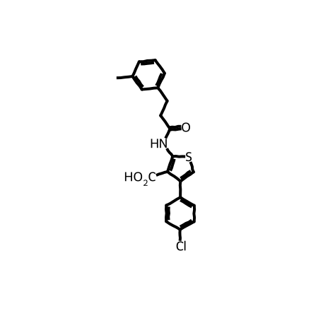 Cc1cccc(CCC(=O)Nc2scc(-c3ccc(Cl)cc3)c2C(=O)O)c1